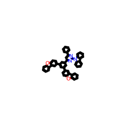 c1ccc(-c2cc(-c3cc(-c4ccc5oc6ccccc6c5c4)cc(-c4ccc5oc6ccccc6c5c4)c3)nc(-n3c4ccccc4c4ccccc43)n2)cc1